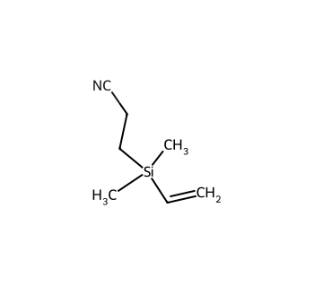 C=C[Si](C)(C)CCC#N